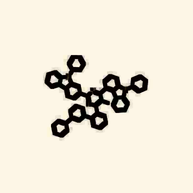 Cc1c(-c2ccccc2-c2cccc(-c3ccccc3)c2)nc(-c2ccc3c4ccccc4n(-c4ccccc4)c3c2)nc1-c1cccc2c1c1ccccc1n2-c1ccccc1